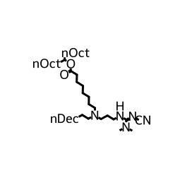 CCCCCCCCCCCCN(CCCCCCCC(=O)OC(CCCCCCCC)CCCCCCCC)CCCN/C(=N/C#N)N(C)C